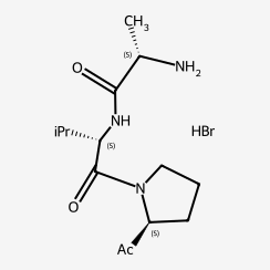 Br.CC(=O)[C@@H]1CCCN1C(=O)[C@@H](NC(=O)[C@H](C)N)C(C)C